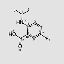 CC(C)Nc1ccc(F)cc1C(=O)O